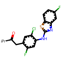 CC(C)C(=O)Cc1cc(Cl)c(Nc2nc3cc(F)ccc3s2)cc1F